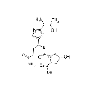 CC(O)C(N)c1nnc(C(CCC(N)=O)NC(=O)N2C[C@H](O)C[C@H]2C(=O)O)o1